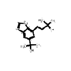 CC(C)(C)CCc1cc(C(C)(C)C)cc2nc[nH]c12